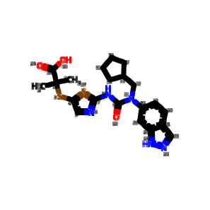 CC(C)(Sc1cnc(NC(=O)N(CC2CCCC2)c2ccc3cn[nH]c3c2)s1)C(=O)O